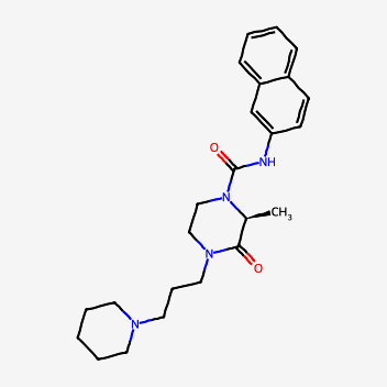 C[C@H]1C(=O)N(CCCN2CCCCC2)CCN1C(=O)Nc1ccc2ccccc2c1